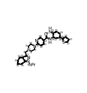 CCCn1nc(CN2CCN(c3ccc(C(=O)Nc4cc(-c5cccs5)ccc4N)cn3)CC2)c2ccccc21